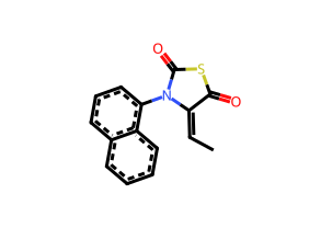 CC=C1C(=O)SC(=O)N1c1cccc2ccccc12